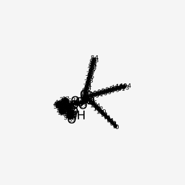 CCCCCCCCCCCCCCCCCCOc1cc(C(=O)OCC(=O)OCC2CN(C(c3ccccc3)(c3ccccc3)c3ccccc3)CC(n3cc(C)c(=O)[nH]c3=O)O2)cc(OCCCCCCCCCCCCCCCCCC)c1OCCCCCCCCCCCCCCCCCC